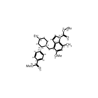 CC[C@H]1CCN(Cc2c(OC)cc(C)c3c2ccn3C(=O)OC(C)(C)C)[C@H](c2ccc(C(=O)OC)cc2)C1